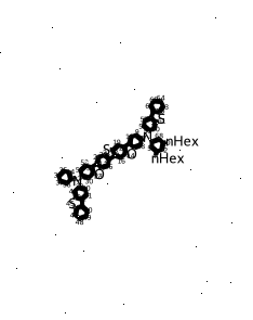 CCCCCCc1cc(CCCCCC)cc(N(c2ccc3c(c2)oc2cc4c(cc23)sc2cc3c(cc24)oc2cc(N(c4ccccc4)c4ccc5c(c4)sc4ccccc45)ccc23)c2ccc3c(c2)sc2ccccc23)c1